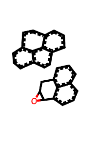 c1cc2c3c(cccc3c1)C1OC1C2.c1cc2ccc3cccc4ccc(c1)c2c34